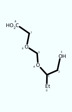 CCC(CO)OCOCC(=O)O